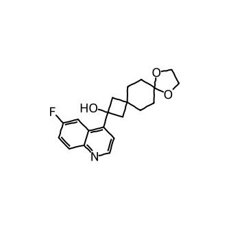 OC1(c2ccnc3ccc(F)cc23)CC2(CCC3(CC2)OCCO3)C1